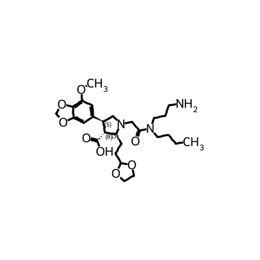 CCCCN(CCCN)C(=O)CN1C[C@H](c2cc(OC)c3c(c2)OCO3)[C@@H](C(=O)O)[C@@H]1CCC1OCCO1